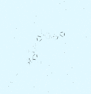 CS(=O)(=O)Nc1cc([C@@H](O)CNCCc2ccc(NC3CCN(c4nc(-c5ccccc5)cs4)CC3)cc2)ccc1O